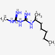 CCCCCC(C)NC(=N)NC(=N)NC